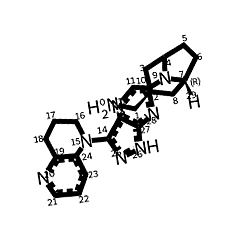 NC[C@H]1CC2CC[C@H](C1)N2c1cnc2c(N3CCCc4ncccc43)n[nH]c2n1